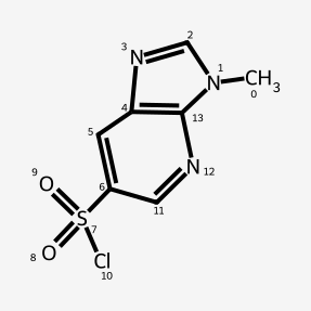 Cn1cnc2cc(S(=O)(=O)Cl)cnc21